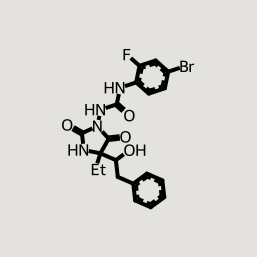 CCC1(C(O)Cc2ccccc2)NC(=O)N(NC(=O)Nc2ccc(Br)cc2F)C1=O